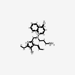 CC=Cc1c(CN(CCCN)n2ccc(=O)c3ccccc32)sc(CC)c1Br